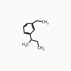 [CH2]CC(C)c1cccc(CC)c1